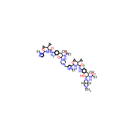 CCC(=O)N[C@@H](C(=O)N1CCN(Cc2cc(C(=O)N[C@H](C(=O)Nc3ccc([C@H](C)[C@@H](NC(=O)CC)C(O)N4C[C@H]5CN(C)C[C@H]5C4)cc3F)C(C3CC3)C3CC3)n(CC)n2)CC1)[C@@H](C)c1ccc(NC(=O)[C@@H](NC(=O)c2ccnn2CC)C(C2CC2)C2CC2)c(F)c1